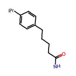 CC(C)c1ccc(CCCCC([NH])=O)cc1